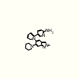 Cn1cc2cc(N3CC=CC=C3c3ccc(N)nc3)c(N3CCCCC3)cc2n1